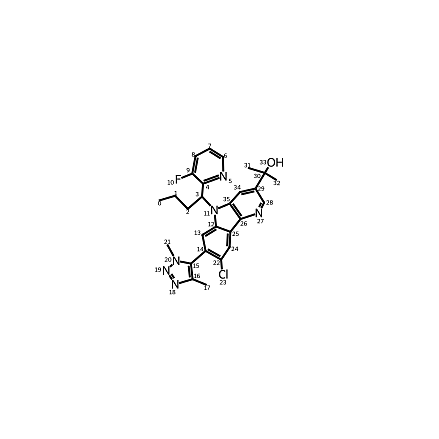 CCCC(c1ncccc1F)n1c2cc(-c3c(C)nnn3C)c(Cl)cc2c2ncc(C(C)(C)O)cc21